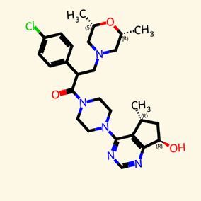 C[C@@H]1CN(CC(C(=O)N2CCN(c3ncnc4c3[C@H](C)C[C@H]4O)CC2)c2ccc(Cl)cc2)C[C@H](C)O1